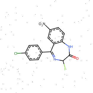 O=C1Nc2ccc([N+](=O)[O-])cc2C(c2ccc(Cl)cc2)=NC1F